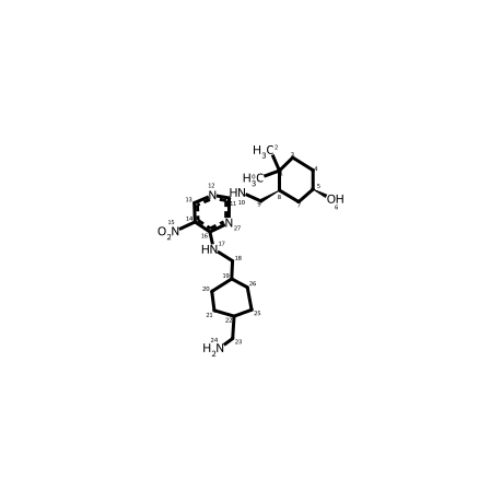 CC1(C)CC[C@@H](O)C[C@H]1CNc1ncc([N+](=O)[O-])c(NCC2CCC(CN)CC2)n1